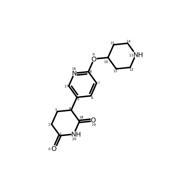 O=C1CCC(c2ccc(OC3CCNCC3)nc2)C(=O)N1